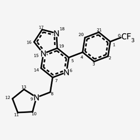 FC(F)(F)c1ccc(-c2nc(CN3CCCC3)cn3ccnc23)cc1